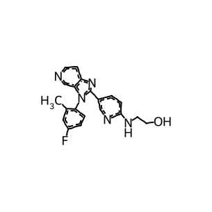 Cc1cc(F)ccc1-n1c(-c2ccc(NCCO)nc2)nc2ccncc21